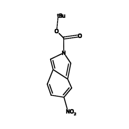 CC(C)(C)OC(=O)n1cc2ccc([N+](=O)[O-])cc2c1